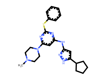 CN1CCN(c2cc(Nc3cc(C4CCCC4)[nH]n3)nc(Sc3ccccc3)n2)CC1